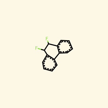 FC1c2ccccc2-c2ccccc2C1F